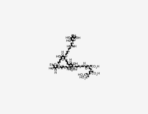 CCC1O[C@@H](OCCCC2O[C@@H](OCCCC3O[C@@H](OC)C(OCCCSCCNC(=O)CN(CCN(CCN(CC(=O)O)CC(=O)O)CC(=O)O)CC(=O)O)[C@@H](O)[C@@H]3O)C(OCCCSCCNC(=N)CSC3OC(CO)C(O)C(O)C3O)[C@@H](O)[C@@H]2O)C(OCCCSCCN)[C@@H](O)[C@@H]1O